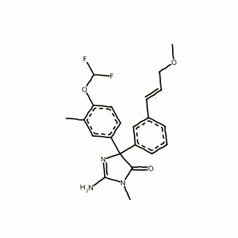 COC/C=C/c1cccc(C2(c3ccc(OC(F)F)c(C)c3)N=C(N)N(C)C2=O)c1